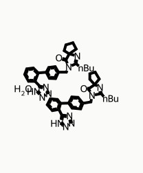 CCCCC1=NC2(CCCC2)C(=O)N1Cc1ccc(-c2ccccc2-c2nnn[nH]2)cc1.CCCCC1=NC2(CCCC2)C(=O)N1Cc1ccc(-c2ccccc2-c2nnn[nH]2)cc1.O